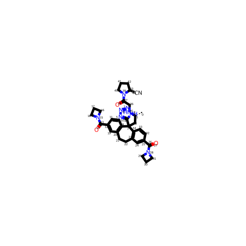 C[C@H](CC1(c2nnn[nH]2)c2ccc(C(=O)N3CCC3)cc2CCc2cc(C(=O)N3CCC3)ccc21)NCC(=O)N1CCCC1C#N